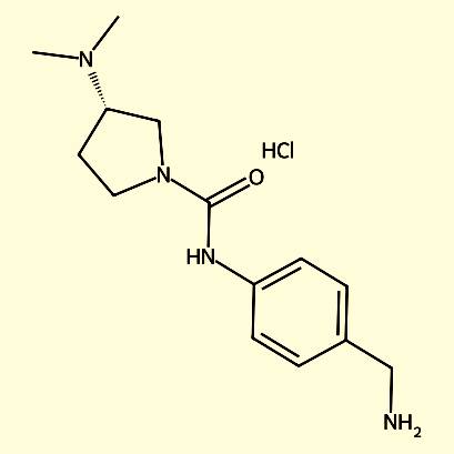 CN(C)[C@H]1CCN(C(=O)Nc2ccc(CN)cc2)C1.Cl